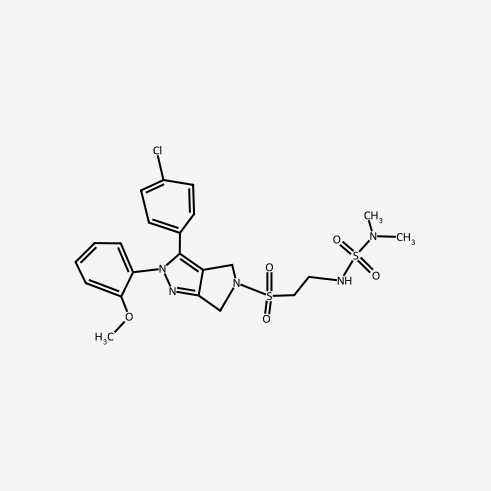 COc1ccccc1-n1nc2c(c1-c1ccc(Cl)cc1)CN(S(=O)(=O)CCNS(=O)(=O)N(C)C)C2